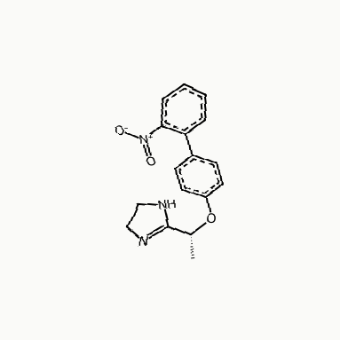 C[C@@H](Oc1ccc(-c2ccccc2[N+](=O)[O-])cc1)C1=NCCN1